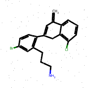 C=C1C=C(c2ccc(Br)cc2CCCN)Cc2c(Cl)cccc21